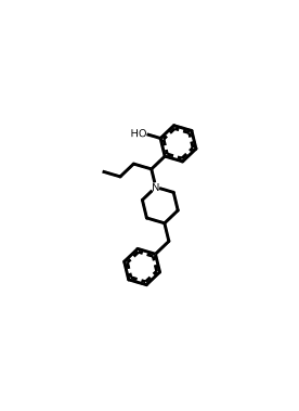 CCCC(c1ccccc1O)N1CCC(Cc2ccccc2)CC1